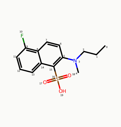 CCCN(C)c1ccc2c(F)cccc2c1S(=O)(=O)O